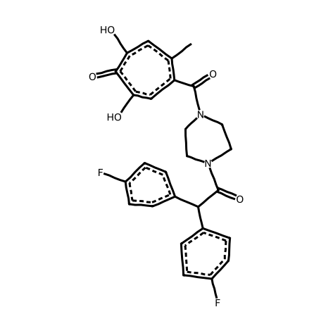 Cc1cc(O)c(=O)c(O)cc1C(=O)N1CCN(C(=O)C(c2ccc(F)cc2)c2ccc(F)cc2)CC1